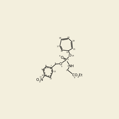 CCOC(=O)CNP(=O)(OCc1ccc([N+](=O)[O-])cc1)OC1C=CC=CC=C1